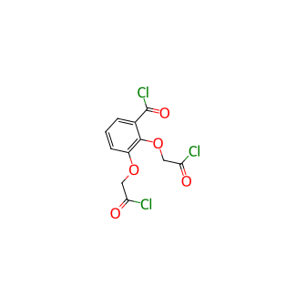 O=C(Cl)COc1cccc(C(=O)Cl)c1OCC(=O)Cl